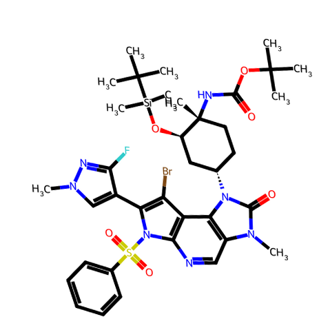 Cn1cc(-c2c(Br)c3c(ncc4c3n([C@H]3CC[C@@](C)(NC(=O)OC(C)(C)C)[C@H](O[Si](C)(C)C(C)(C)C)C3)c(=O)n4C)n2S(=O)(=O)c2ccccc2)c(F)n1